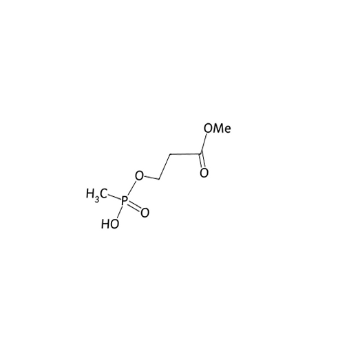 COC(=O)CCOP(C)(=O)O